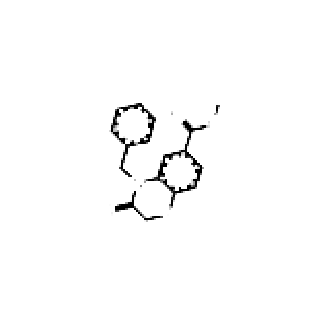 COC(=O)c1ccc2c(c1)N(Cc1ccccc1)C(=S)CS2